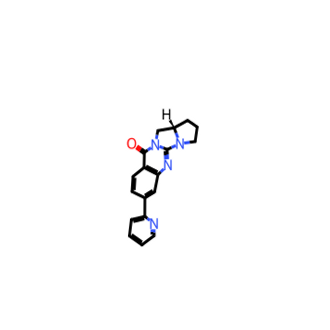 O=c1c2ccc(-c3ccccn3)cc2nc2n1C[C@@H]1CCCN21